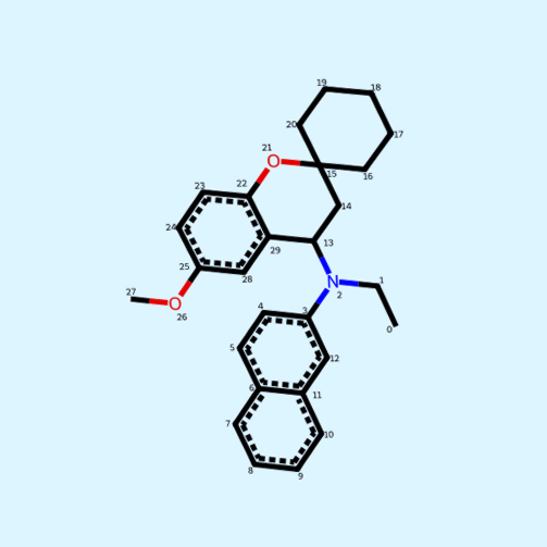 CCN(c1ccc2ccccc2c1)C1CC2(CCCCC2)Oc2ccc(OC)cc21